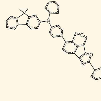 CC1(C)c2ccccc2-c2ccc(N(c3ccccc3)c3ccc(-c4ccc5c6c(cccc46)-c4oc(-c6ccccc6)nc4-5)cc3)cc21